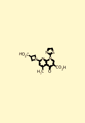 Cc1cc(N2CC(C(=O)O)C2)nc2c1c(=O)c(C(=O)O)cn2-c1nccs1